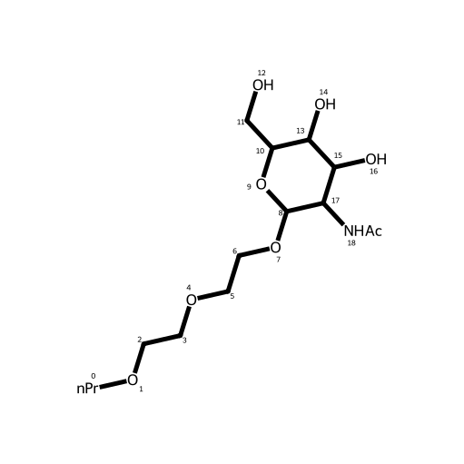 CCCOCCOCCOC1OC(CO)C(O)C(O)C1NC(C)=O